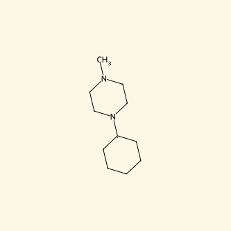 CN1CCN([C]2CCCCC2)CC1